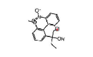 CCC(O)(CC)c1cccc(OC)c1-c1c(Cl)cccc1[N+](=O)[O-]